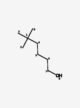 CC(C)(C)CCC[CH]O